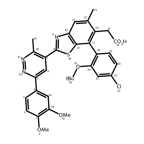 COc1ccc(-c2cc(-c3nc4cc(C)c(CC(=O)O)c(-c5ccc(Cl)cc5OC(C)(C)C)c4s3)c(C)nn2)cc1OC